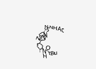 CC(=O)Nc1ncc(-c2ccc3nc(-c4ccc(C)c(NC(=O)C(C)(C)C)c4)cn3n2)s1